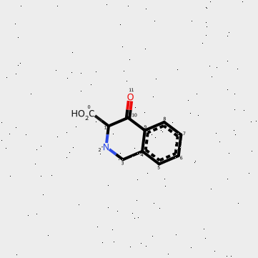 O=C(O)C1[N]Cc2ccccc2C1=O